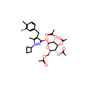 CC(=O)OC[C@H]1O[C@@H](Oc2nn(C3CCC3)c(C)c2Cc2ccc(C)c(F)c2)[C@H](OC(C)=O)[C@@H](OC(C)=O)[C@@H]1OC(C)=O